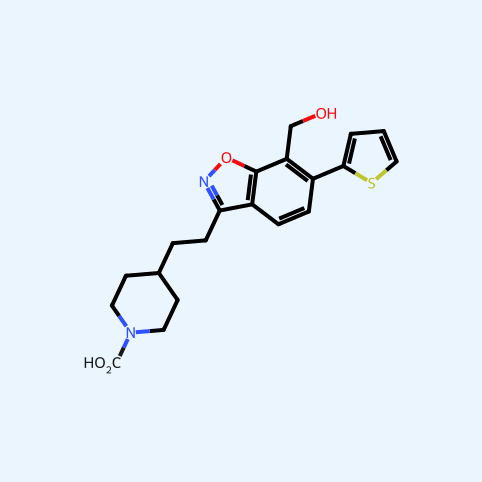 O=C(O)N1CCC(CCc2noc3c(CO)c(-c4cccs4)ccc23)CC1